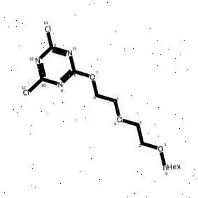 CCCCCCOCCOCCOc1nc(Cl)nc(Cl)n1